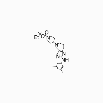 CCC(C)(C)OC(=O)N1CCC(N2CCCc3nc(Nc4cc(C)cc(C)c4)ncc3C2)CC1